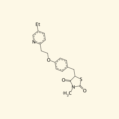 [CH2]N1C(=O)SC(Cc2ccc(OCCc3ccc(CC)cn3)cc2)C1=O